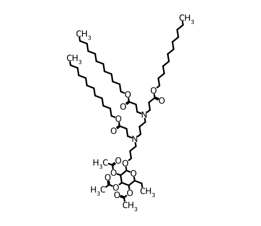 CCCCCCCCCCCCOC(=O)CCN(CCCOC1OC(CC)C(OC(C)=O)C(OC(C)=O)C1OC(C)=O)CCCN(CCC(=O)OCCCCCCCCCCCC)CCC(=O)OCCCCCCCCCCCC